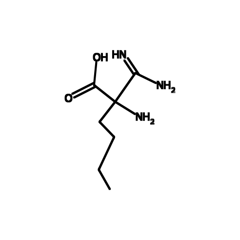 CCCCC(N)(C(=N)N)C(=O)O